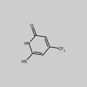 O=c1cc(C(F)(F)F)cc(S)[nH]1